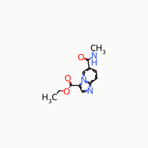 CCOC(=O)c1cnc2ccc(C(=O)NC)cn12